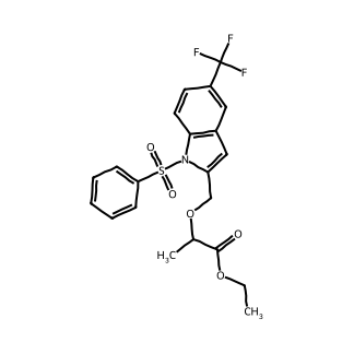 CCOC(=O)C(C)OCc1cc2cc(C(F)(F)F)ccc2n1S(=O)(=O)c1ccccc1